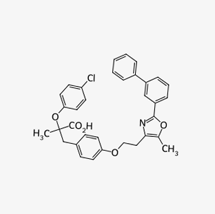 Cc1oc(-c2cccc(-c3ccccc3)c2)nc1CCOc1ccc(CC(C)(Oc2ccc(Cl)cc2)C(=O)O)cc1